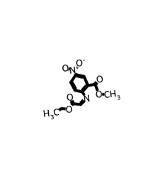 CCOC(=O)/C=N\c1ccc([N+](=O)[O-])cc1C(=O)OC